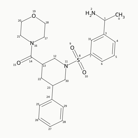 CC(N)c1cccc(S(=O)(=O)N2CC(C(=O)N3CCOCC3)CC(c3ccccc3)C2)c1